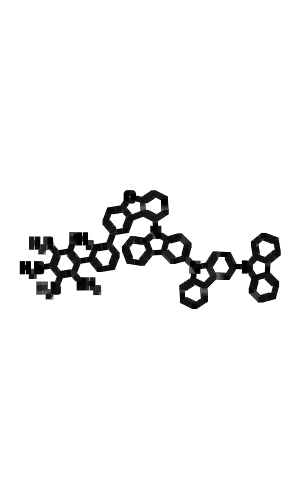 Bc1c(B)c(B)c(-c2cccc(-c3ccc4oc5cccc(-n6c7ccccc7c7cc(-n8c9ccccc9c9cc(-n%10c%11ccccc%11c%11ccccc%11%10)ccc98)ccc76)c5c4c3)c2)c(B)c1B